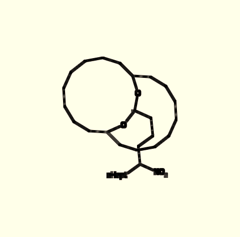 [CH2]CCCCCCC(CCC[C]1OC2CCCCCCCCC(CCCCCCCC2)O1)[N+](=O)[O-]